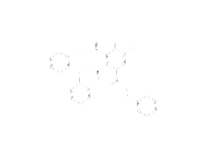 O=C(OCc1ccccc1)c1cc(F)c(F)c(C(=O)OCc2ccccc2)c1C(=O)OCc1ccccc1